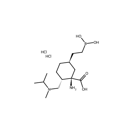 CC(C)N(C)C[C@@H]1CC[C@@H](CCB(O)O)C[C@]1(N)C(=O)O.Cl.Cl